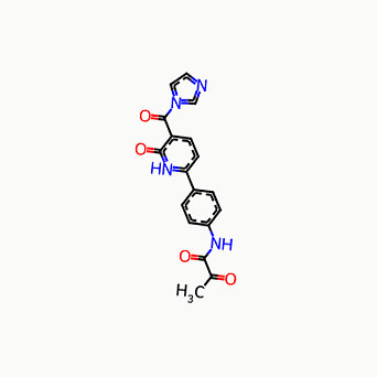 CC(=O)C(=O)Nc1ccc(-c2ccc(C(=O)n3ccnc3)c(=O)[nH]2)cc1